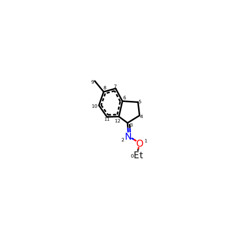 CCO/N=C1\CCc2cc(C)ccc21